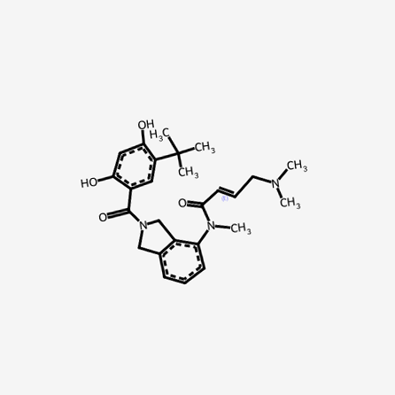 CN(C)C/C=C/C(=O)N(C)c1cccc2c1CN(C(=O)c1cc(C(C)(C)C)c(O)cc1O)C2